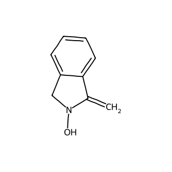 C=C1c2ccccc2CN1O